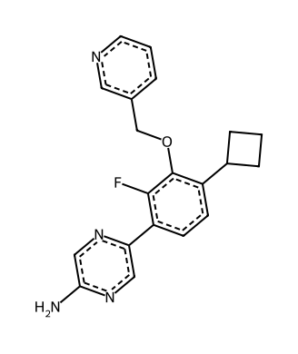 Nc1cnc(-c2ccc(C3CCC3)c(OCc3cccnc3)c2F)cn1